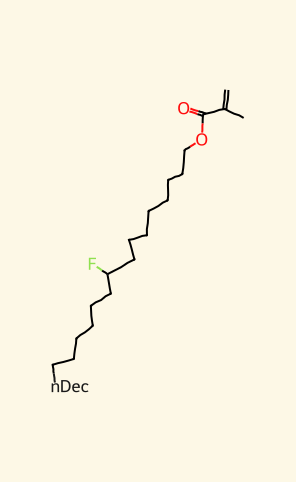 C=C(C)C(=O)OCCCCCCCCC(F)CCCCCCCCCCCCCCCC